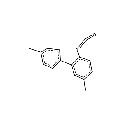 Cc1ccc(-c2cc(C)ccc2N=C=O)cc1